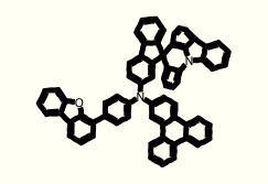 c1ccc2c(c1)-c1ccc(N(c3ccc(-c4cccc5c4oc4ccccc45)cc3)c3ccc4c5ccccc5c5ccccc5c4c3)cc1C21c2ccccc2-n2c3ccccc3c3cccc1c32